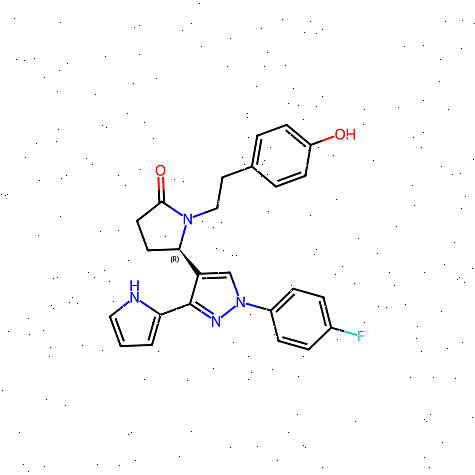 O=C1CC[C@H](c2cn(-c3ccc(F)cc3)nc2-c2ccc[nH]2)N1CCc1ccc(O)cc1